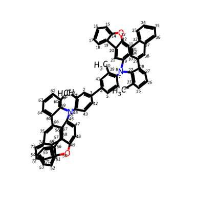 Cc1cc(-c2ccc(N(c3ccc4oc5ccccc5c4c3)c3c(C)cccc3-c3ccc4ccccc4c3)c(C)c2)ccc1N(c1ccc2oc3ccccc3c2c1)c1c(C)cccc1-c1ccc2ccccc2c1